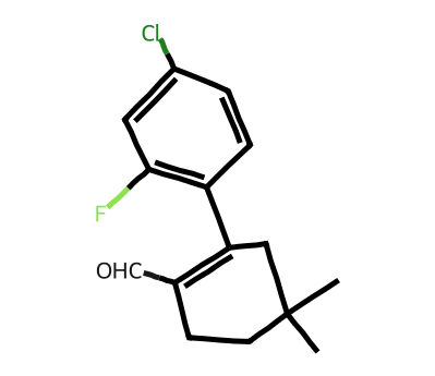 CC1(C)CCC(C=O)=C(c2ccc(Cl)cc2F)C1